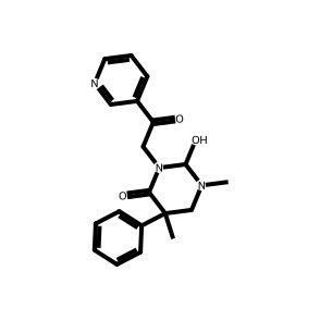 CN1CC(C)(c2ccccc2)C(=O)N(CC(=O)c2cccnc2)C1O